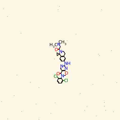 CN(C)CC(=O)N1CCc2cc(Nc3ncc4c(n3)OCN(c3c(Cl)cccc3Cl)C4=O)ccc2C12CC2